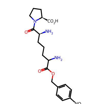 NC(CCC[C@H](N)C(=O)N1CCC[C@H]1C(=O)O)C(=O)OCc1ccc([N+](=O)[O-])cc1